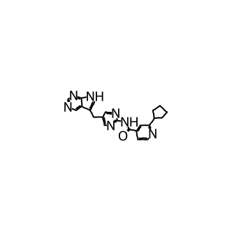 O=C(Nc1ncc(Cc2c[nH]c3ncncc23)cn1)c1ccnc(C2CCCC2)c1